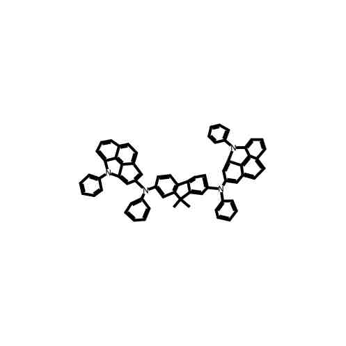 CC1(C)c2cc(N(c3ccccc3)c3cc4ccc5cccc6c5c4c(c3)n6-c3ccccc3)ccc2-c2ccc(N(c3ccccc3)c3cc4ccc5cccc6c5c4c(c3)n6-c3ccccc3)cc21